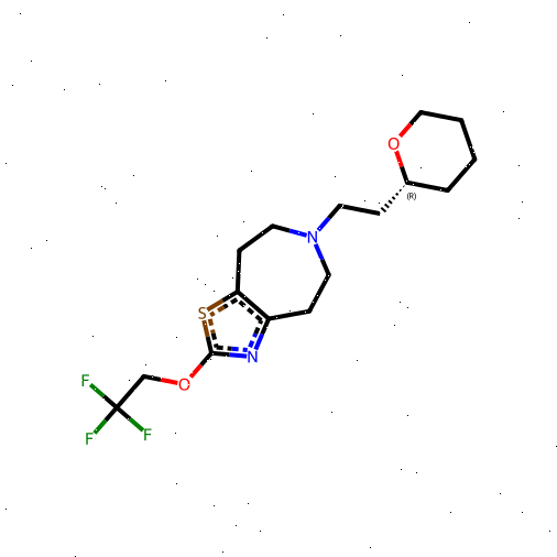 FC(F)(F)COc1nc2c(s1)CCN(CC[C@H]1CCCCO1)CC2